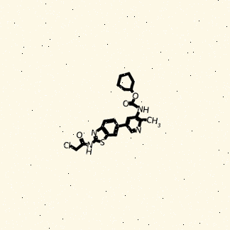 Cc1ncc(-c2ccc3nc(NC(=O)CCl)sc3c2)cc1NC(=O)OC1CCCCC1